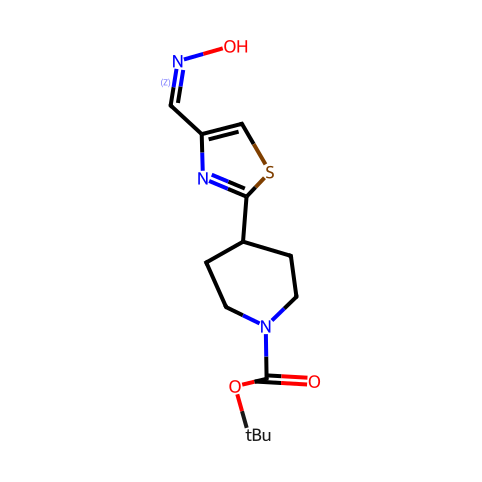 CC(C)(C)OC(=O)N1CCC(c2nc(/C=N\O)cs2)CC1